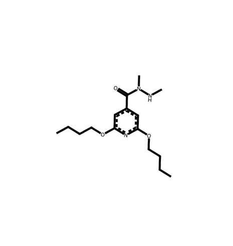 CCCCOc1cc(C(=O)N(C)NC)cc(OCCCC)n1